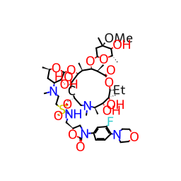 CC[C@H]1OC(=O)[C@H](C)[C@@H](O[C@H]2C[C@@](C)(OC)[C@@H](O)[C@H](C)O2)[C@H](C)[C@@H](O[C@@H]2O[C@H](C)C[C@H](N(C)CCS(=O)(=O)NC[C@H]3CN(c4ccc(N5CCOCC5)c(F)c4)C(=O)O3)[C@H]2O)[C@](C)(O)C[C@@H](C)CN(C)[C@H](C)[C@@H](O)[C@]1(C)O